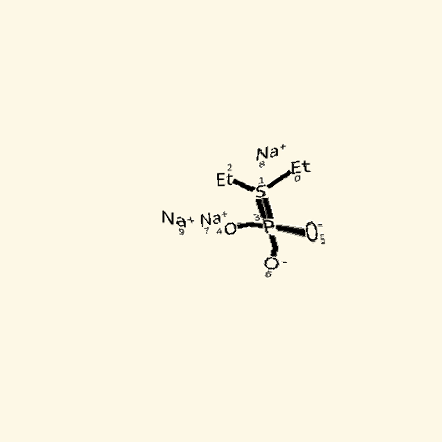 CCS(CC)=P([O-])([O-])[O-].[Na+].[Na+].[Na+]